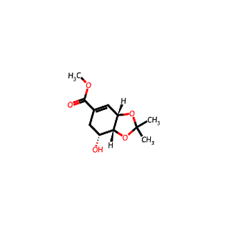 COC(=O)C1=C[C@@H]2OC(C)(C)O[C@@H]2[C@H](O)C1